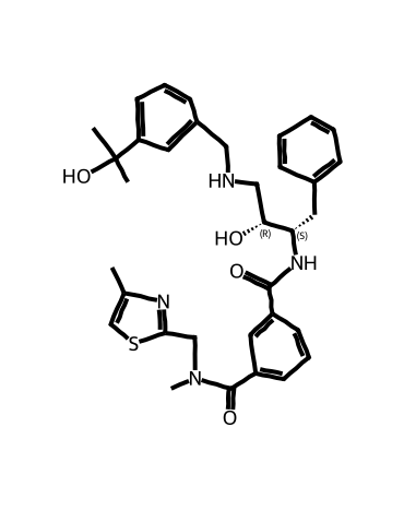 Cc1csc(CN(C)C(=O)c2cccc(C(=O)N[C@@H](Cc3ccccc3)[C@H](O)CNCc3cccc(C(C)(C)O)c3)c2)n1